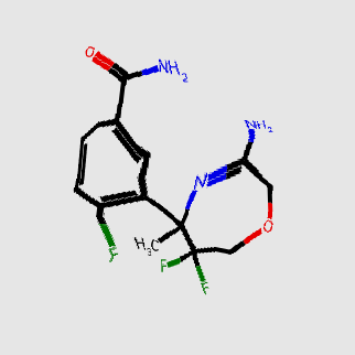 CC1(c2cc(C(N)=O)ccc2F)N=C(N)COCC1(F)F